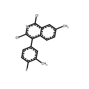 Cc1ccc2c(-c3ccc(F)c(C)c3)c(Cl)nc(Cl)c2c1